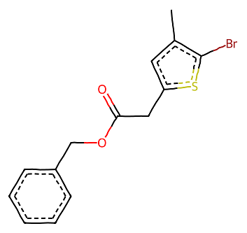 Cc1cc(CC(=O)OCc2ccccc2)sc1Br